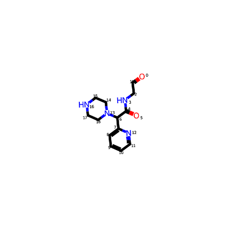 O=[C]CNC(=O)C(c1ccccn1)N1CCNCC1